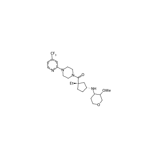 CC[C@]1(C(=O)N2CCN(c3cc(C(F)(F)F)ccn3)CC2)CC[C@@H](NC2CCOCC2OC)C1